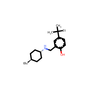 CCC(C)(C)c1ccc(O)c(CN[C@H]2CC[C@H](C(C)(C)C)CC2)c1